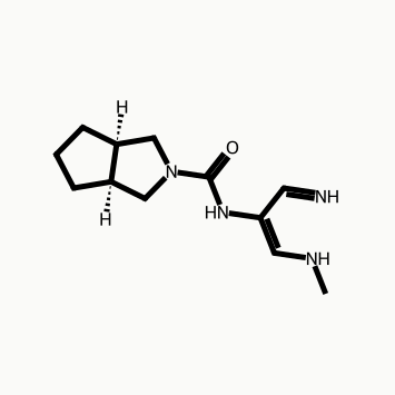 CN/C=C(\C=N)NC(=O)N1C[C@H]2CCC[C@H]2C1